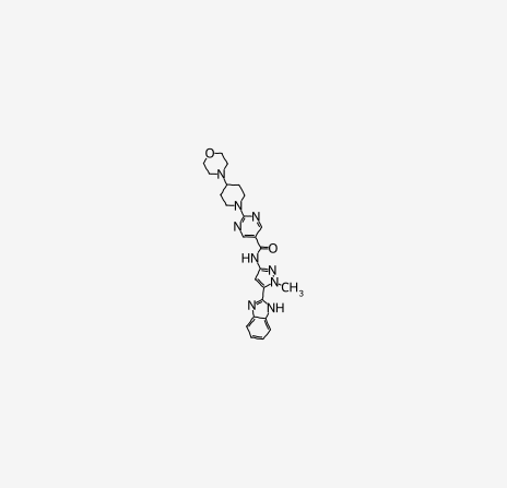 Cn1nc(NC(=O)c2cnc(N3CCC(N4CCOCC4)CC3)nc2)cc1-c1nc2ccccc2[nH]1